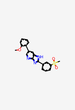 COc1ccccc1-c1cnc2nc(-c3cccc(S(C)(=O)=O)c3)[nH]c2c1